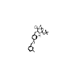 COC(=O)[C@H](Cc1ccc(OCc2cccc(C)c2)cc1)NC(=O)OC(C)(C)C